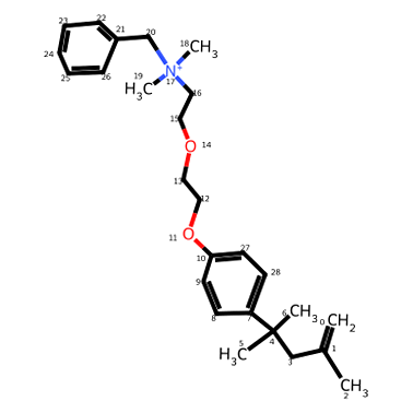 C=C(C)CC(C)(C)c1ccc(OCCOCC[N+](C)(C)Cc2ccccc2)cc1